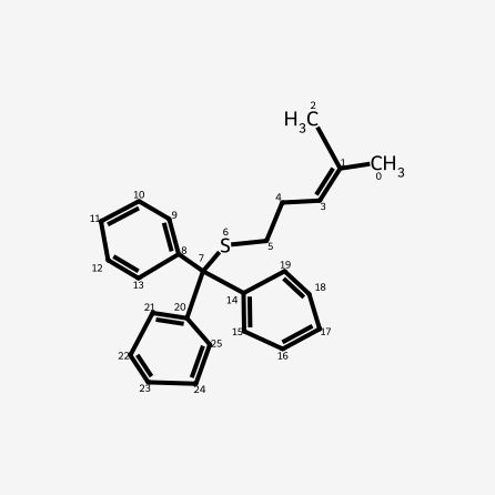 CC(C)=CCCSC(c1ccccc1)(c1ccccc1)c1ccccc1